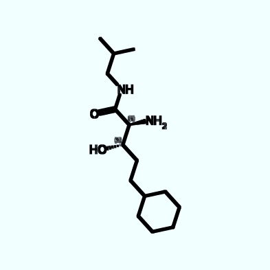 CC(C)CNC(=O)[C@@H](N)[C@@H](O)CCC1CCCCC1